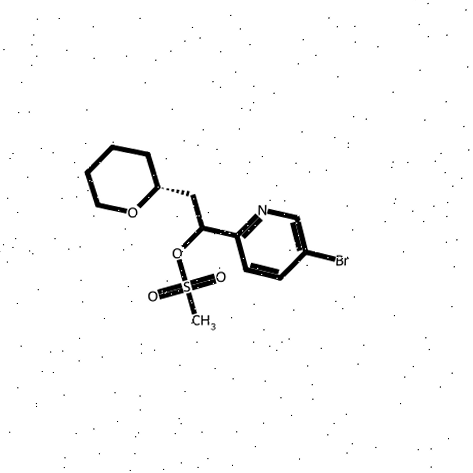 CS(=O)(=O)OC(C[C@H]1CCCCO1)c1ccc(Br)cn1